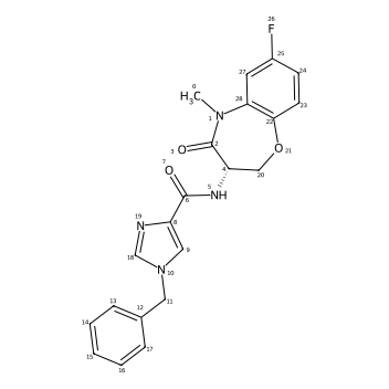 CN1C(=O)[C@@H](NC(=O)c2cn(Cc3ccccc3)cn2)COc2ccc(F)cc21